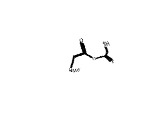 CNCC(=O)OC(=S)S